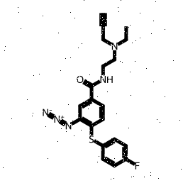 C#CCN(CC)CCNC(=O)c1ccc(Sc2ccc(F)cc2)c(N=[N+]=[N-])c1